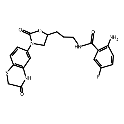 Nc1ccc(F)cc1C(=O)NCCCC1CN(c2ccc3c(c2)NC(=O)CS3)C(=O)O1